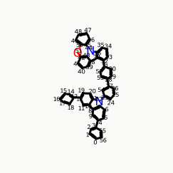 c1ccc(-c2ccc3c(c2)c2cc(-c4ccccc4)ccc2n3-c2cccc(-c3ccc(-c4cccc5c4c4cccc6c4n5-c4ccccc4O6)cc3)c2)cc1